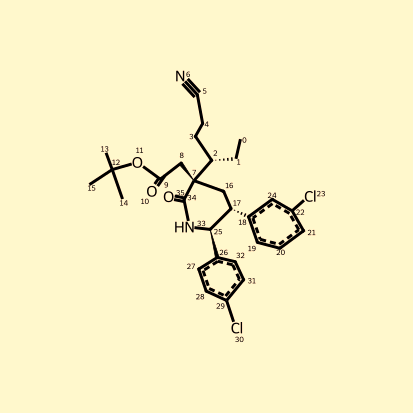 CC[C@@H](CCC#N)[C@]1(CC(=O)OC(C)(C)C)C[C@H](c2cccc(Cl)c2)[C@@H](c2ccc(Cl)cc2)NC1=O